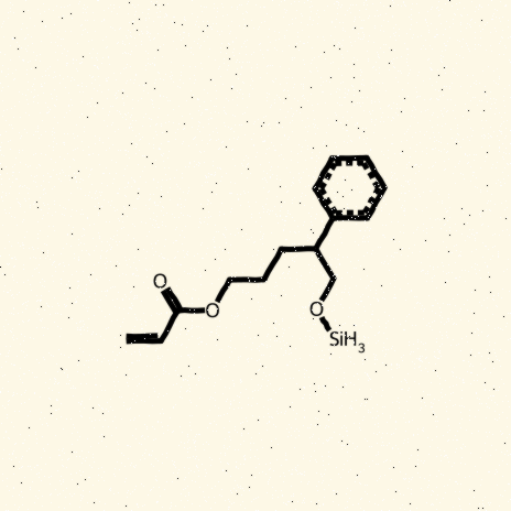 C=CC(=O)OCCCC(CO[SiH3])c1ccccc1